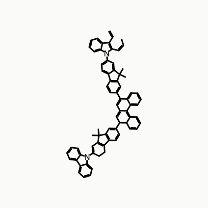 C=Cc1c(/C=C\C)n(-c2ccc3c(c2)C(C)(C)c2cc(-c4cc5c(c6ccccc46)=C4C=CC=CC4C(c4ccc6c(c4)C(C)(C)C4=C6CCC(n6c7ccccc7c7ccccc76)=C4)C=5)ccc2-3)c2ccccc12